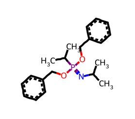 CC(C)N=P(OCc1ccccc1)(OCc1ccccc1)C(C)C